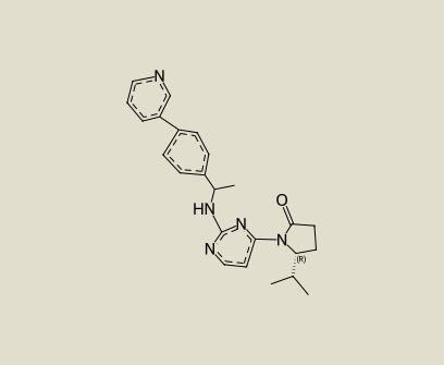 CC(Nc1nccc(N2C(=O)CC[C@@H]2C(C)C)n1)c1ccc(-c2cccnc2)cc1